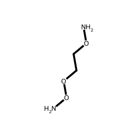 NOCCOON